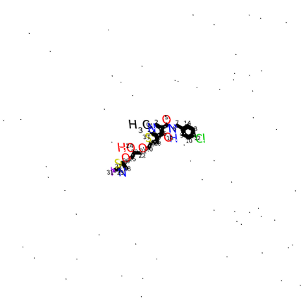 Cn1cc(C(=O)NCc2ccc(Cl)cc2)c(=O)c2cc(COC[C@@H](O)COc3cnc(I)s3)sc21